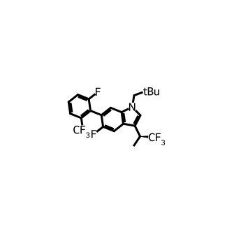 C[C@@H](c1cn(CC(C)(C)C)c2cc(-c3c(F)cccc3C(F)(F)F)c(F)cc12)C(F)(F)F